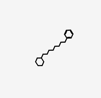 [CH](CCCCc1ccccc1)CCCC1CCCCC1